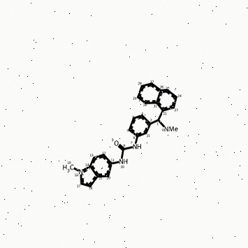 CNC(c1cccc(NC(=O)Nc2ccc3c(ccn3C)c2)c1)c1cccc2ccccc12